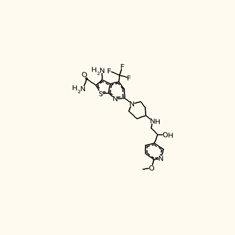 COc1ccc(C(O)CNC2CCN(c3cc(C(F)(F)F)c4c(N)c(C(N)=O)sc4n3)CC2)cn1